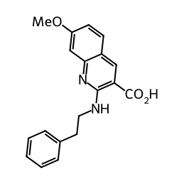 COc1ccc2cc(C(=O)O)c(NCCc3ccccc3)nc2c1